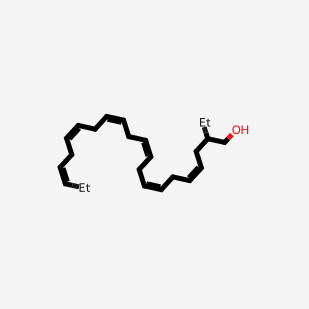 CC/C=C\C/C=C\C/C=C\C/C=C\C/C=C\C/C=C\CC(CC)CO